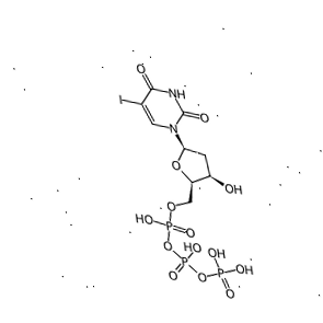 O=c1[nH]c(=O)n([C@H]2C[C@@H](O)[C@@H](COP(=O)(O)OP(=O)(O)OP(=O)(O)O)O2)cc1I